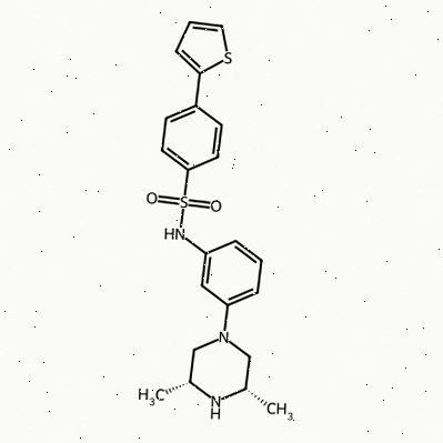 C[C@@H]1CN(c2cccc(NS(=O)(=O)c3ccc(-c4cccs4)cc3)c2)C[C@H](C)N1